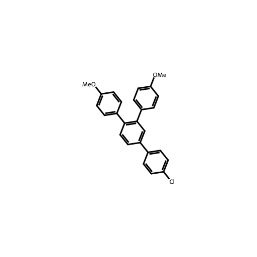 COc1ccc(-c2ccc(-c3ccc(Cl)cc3)cc2-c2ccc(OC)cc2)cc1